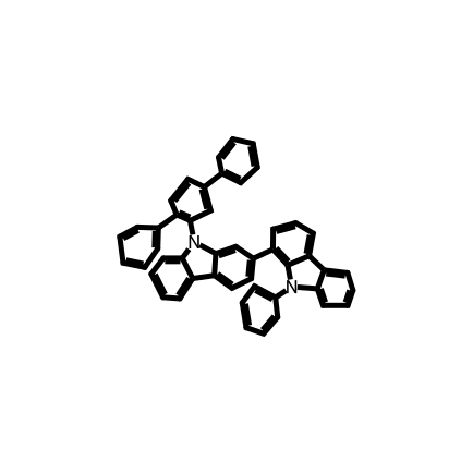 c1ccc(-c2ccc(-c3ccccc3)c(-n3c4ccccc4c4ccc(-c5cccc6c7ccccc7n(-c7ccccc7)c56)cc43)c2)cc1